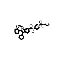 O=C(NC1CCN(C(=O)OCCF)CC1)c1ccc2c(C3CCCCC3)c3n(c2c1)CCOc1ccccc1-3